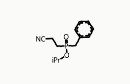 CC(C)OP(=O)(CCC#N)Cc1ccccc1